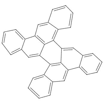 c1ccc2c(c1)cc1c3c4ccccc4cc4c5ccccc5cc(c5c6ccccc6cc2c15)c43